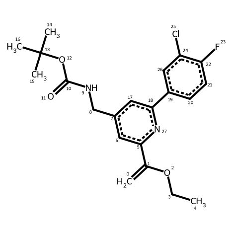 C=C(OCC)c1cc(CNC(=O)OC(C)(C)C)cc(-c2ccc(F)c(Cl)c2)n1